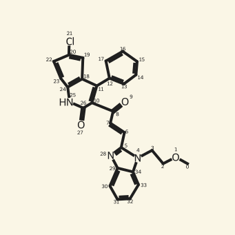 COCCn1c(/C=C/C(=O)c2c(-c3ccccc3)c3cc(Cl)ccc3[nH]c2=O)nc2ccccc21